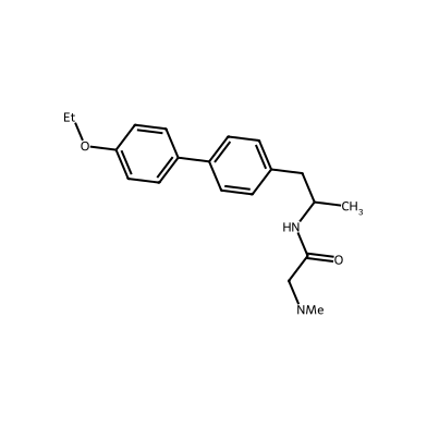 CCOc1ccc(-c2ccc(CC(C)NC(=O)CNC)cc2)cc1